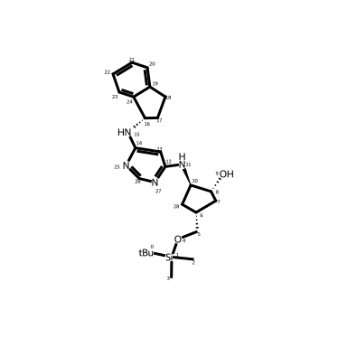 CC(C)(C)[Si](C)(C)OC[C@H]1C[C@@H](O)[C@H](Nc2cc(N[C@H]3CCc4ccccc43)ncn2)C1